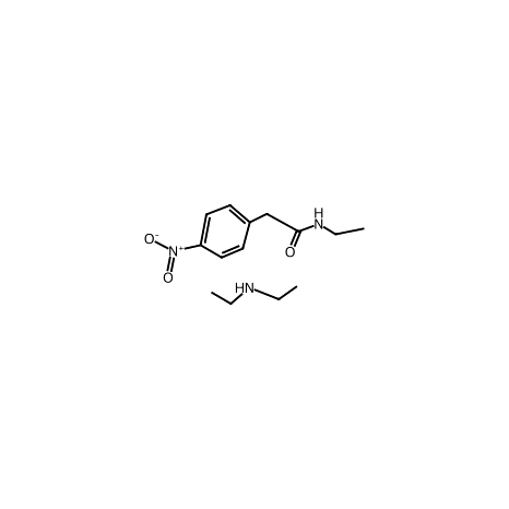 CCNC(=O)Cc1ccc([N+](=O)[O-])cc1.CCNCC